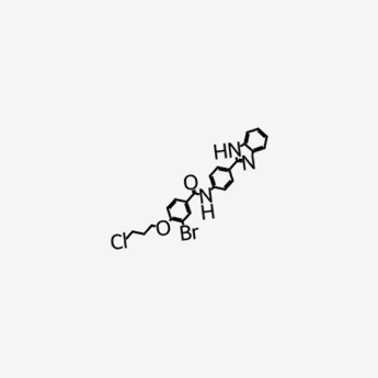 O=C(Nc1ccc(-c2nc3ccccc3[nH]2)cc1)c1ccc(OCCCCl)c(Br)c1